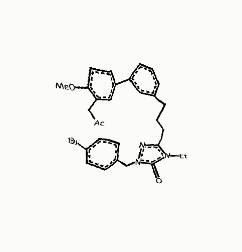 CCn1c(CCCc2cccc(-c3ccc(OC)c(CC(C)=O)c3)c2)nn(Cc2ccc(C(C)(C)C)cc2)c1=O